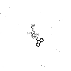 O=C(NC(CCCCO)C(=O)O)OCC1c2ccccc2-c2ccccc21